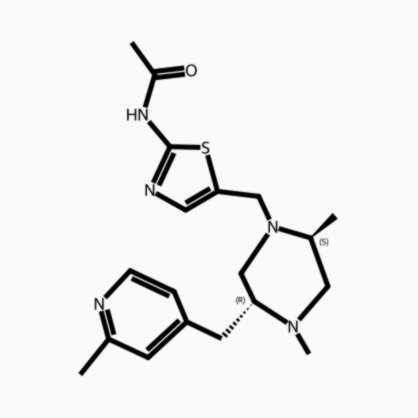 CC(=O)Nc1ncc(CN2C[C@@H](Cc3ccnc(C)c3)N(C)C[C@@H]2C)s1